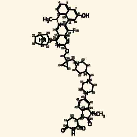 CCc1cccc2cc(O)cc(-c3ncc4c(N5CC6CCC(C5)N6)nc(OCC5(CN6CCC(CN7CCN(c8ccc9c(c8)n(C)c(=O)n9C8CCC(=O)NC8=O)CC7)CC6)CC5)nc4c3F)c12